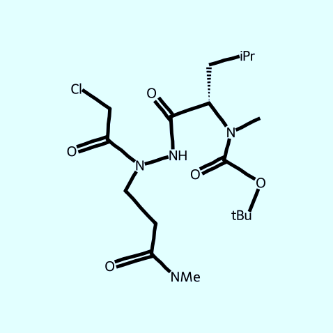 CNC(=O)CCN(NC(=O)[C@H](CC(C)C)N(C)C(=O)OC(C)(C)C)C(=O)CCl